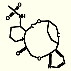 CS(=O)(=O)NC1CCCN2C(=O)COc3ncccc3C3CCC(CC3)OCC12